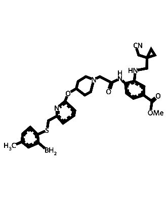 Bc1cc(C)ccc1SCc1cccc(OC2CCN(CC(=O)Nc3ccc(C(=O)OC)cc3NCC3(CC#N)CC3)CC2)n1